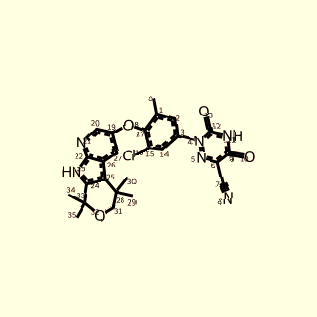 Cc1cc(-n2nc(C#N)c(=O)[nH]c2=O)cc(Cl)c1Oc1cnc2[nH]c3c(c2c1)C(C)(C)COC3(C)C